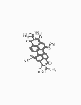 CCCCC(C)N1C(=O)c2ccc3c4c(SC#N)cc5c6c(ccc(c7c(SC#N)cc(c2c37)C1=O)c64)C(=O)N(C(C)CCCC)C5=O